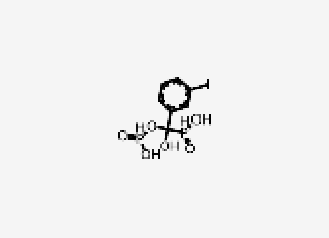 O=[PH](O)OC(O)(c1cccc(I)c1)[PH](=O)O